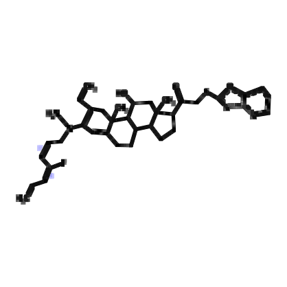 C=C/C=C(F)\C=C/CN(N)C1=C(C=C)CC2(C)C(=C1)CCC1C2C(O)CC2(C)C(C(=O)CSc3nc4ncccc4o3)CCC12